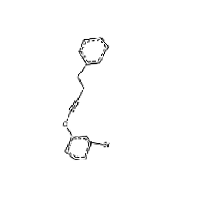 Brc1cccc(OC#CCCc2ccccc2)c1